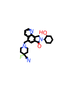 N#CC1(F)CCN(Cc2cc3c(c4ncccc24)CN([C@H]2CCCC[C@@H]2O)C3=O)CC1